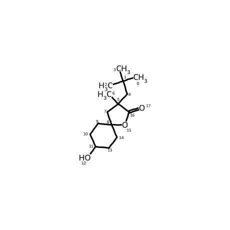 CC(C)(C)CC1(C)CC2(CCC(O)CC2)OC1=O